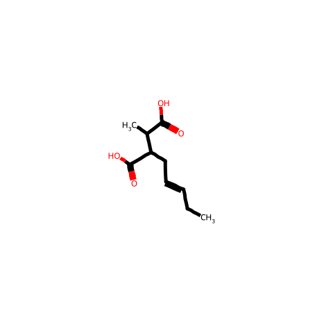 CCC=CCC(C(=O)O)C(C)C(=O)O